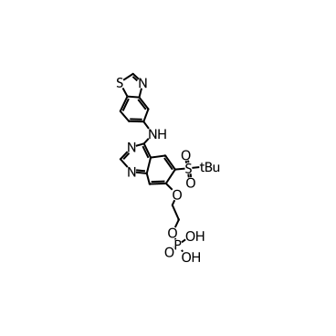 CC(C)(C)S(=O)(=O)c1cc2c(Nc3ccc4scnc4c3)ncnc2cc1OCCOP(=O)(O)O